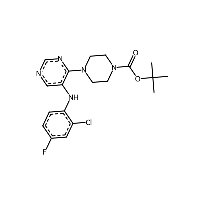 CC(C)(C)OC(=O)N1CCN(c2ncncc2Nc2ccc(F)cc2Cl)CC1